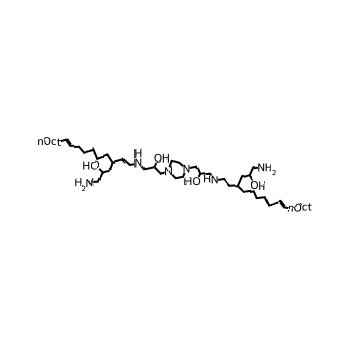 CCCCCCCCC=CCCCCCC(CCNCC(O)CN1CCN(CC(O)CNCCC(CCCCCC=CCCCCCCCC)CC(O)CN)CC1)CC(O)CN